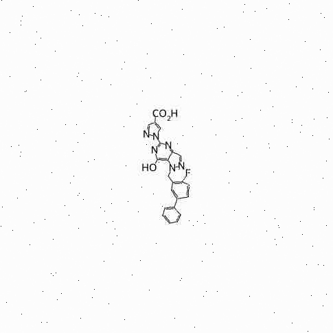 O=C(O)c1cnn(-c2nc(O)c3c(cnn3Cc3cc(-c4ccccc4)ccc3F)n2)c1